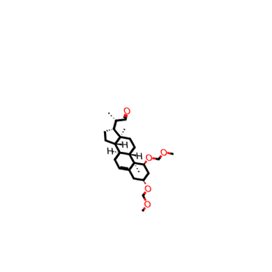 COCO[C@@H]1CC2=CC[C@H]3[C@@H]4CC[C@H]([C@H](C)C=O)[C@@]4(C)CC[C@@H]3[C@@]2(C)[C@@H](OCOC)C1